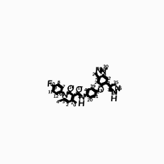 Cc1cc(C)n(-c2ccc(F)cc2)c(=O)c1C(=O)Nc1ccc(Oc2cc3cnn(C)c3cc2-c2cn[nH]c2)cc1